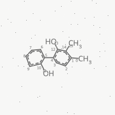 Cc1ccc(-c2ccccc2O)c(O)c1C